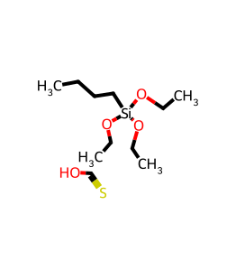 CCCC[Si](OCC)(OCC)OCC.OC=S